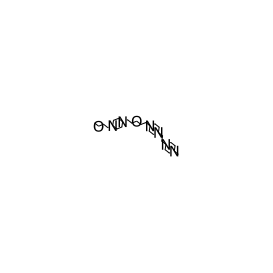 COCCN1CCN(CCOCCN2CCN(CCN3CCN(C)CC3)CC2)CC1